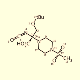 CC(C)(C)OC[C@](N=C=O)(C(=O)O)N1CCN(S(C)(=O)=O)CC1